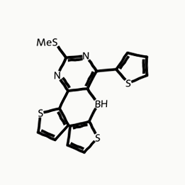 CSc1nc(-c2cccs2)c(Bc2cccs2)c(-c2cccs2)n1